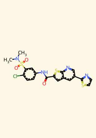 CN(C)S(=O)(=O)c1cc(NC(=O)c2cc3cc(-c4nccs4)cnc3s2)ccc1Cl